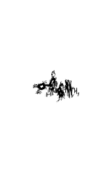 Cc1nsc(N2CC3C(Nc4nc5c(-c6ccc(F)c(F)c6)cc(Cl)cn5n4)C4CCC43C2)n1